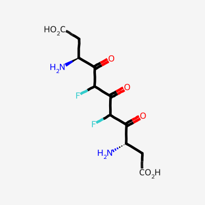 N[C@@H](CC(=O)O)C(=O)C(F)C(=O)C(F)C(=O)[C@@H](N)CC(=O)O